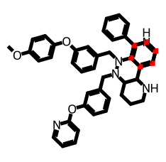 COc1ccc(Oc2cccc(CN(C3CCCNC3c3ccccc3)N(Cc3cccc(Oc4ccccn4)c3)C3CCCNC3c3ccccc3)c2)cc1